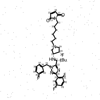 CC(C)(C)[C@@H](N[C@@H]1CN(CCCCCCN2C(=O)C=CC2=O)C[C@@H]1F)c1nc(-c2cc(F)ccc2F)nn1Cc1cccc(F)c1